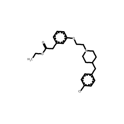 CCOC(=O)Cc1cccc(OCCN2CCC(Cc3ccc(Cl)cc3)CC2)c1